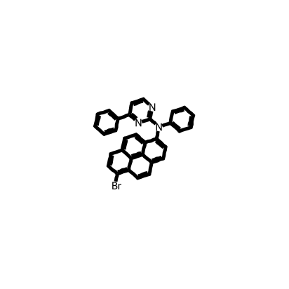 Brc1ccc2ccc3c(N(c4ccccc4)c4nccc(-c5ccccc5)n4)ccc4ccc1c2c43